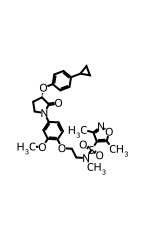 COc1cc(N2CC[C@H](Oc3ccc(C4CC4)cc3)C2=O)ccc1OCCN(C)S(=O)(=O)c1c(C)noc1C